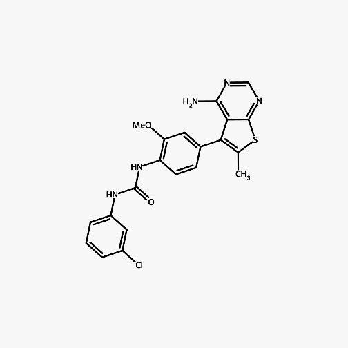 COc1cc(-c2c(C)sc3ncnc(N)c23)ccc1NC(=O)Nc1cccc(Cl)c1